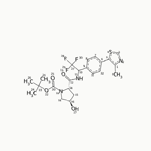 Cc1ncsc1-c1ccc(C(NC(=O)[C@@H]2C[C@@H](O)CN2C(=O)OC(C)(C)C)C(F)(F)F)cc1